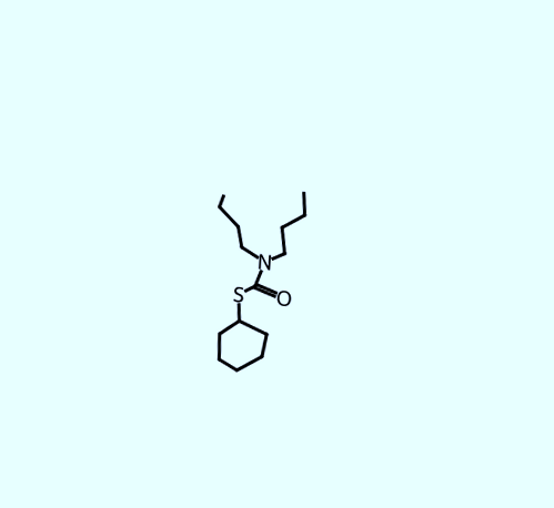 CCCCN(CCCC)C(=O)SC1CCCCC1